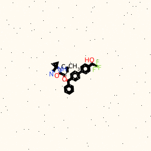 CC(C)C[C@H](OC(c1ccccc1)c1ccc(-c2ccc([C@@H](O)C(F)(F)F)cc2)cc1)C(=O)NC1(C#N)CC1